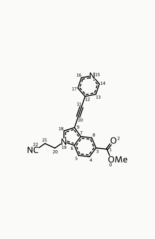 COC(=O)c1ccc2c(c1)c(C#Cc1ccncc1)cn2CCC#N